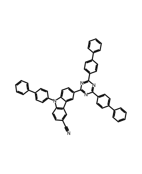 N#Cc1ccc2c(c1)c1cc(-c3nc(-c4ccc(-c5ccccc5)cc4)nc(-c4ccc(-c5ccccc5)cc4)n3)ccc1n2-c1ccc(-c2ccccc2)cc1